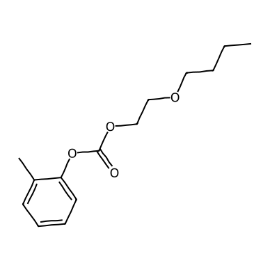 CCCCOCCOC(=O)Oc1ccccc1C